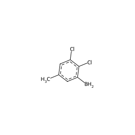 Bc1cc(C)cc(Cl)c1Cl